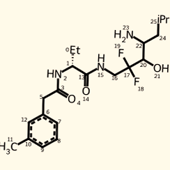 CC[C@@H](NC(=O)Cc1cccc(C)c1)C(=O)NCC(F)(F)C(O)C(N)CC(C)C